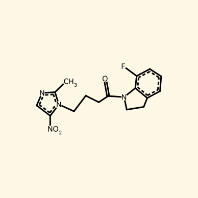 Cc1ncc([N+](=O)[O-])n1CCCC(=O)N1CCc2cccc(F)c21